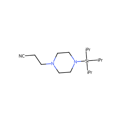 CC(C)[Si](C(C)C)(C(C)C)N1CCN(CCC#N)CC1